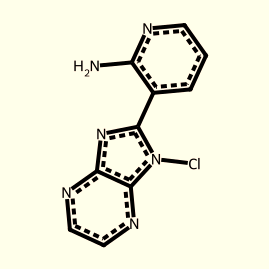 Nc1ncccc1-c1nc2nccnc2n1Cl